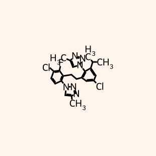 Cc1cn(-c2ccc(Cl)c(F)c2CCc2cc(Cl)cc(C(C)C)c2-n2cc(C)nn2)nn1